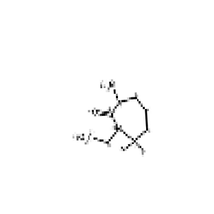 CC1(C)CCCC(N)C(=O)N1CC(=O)O